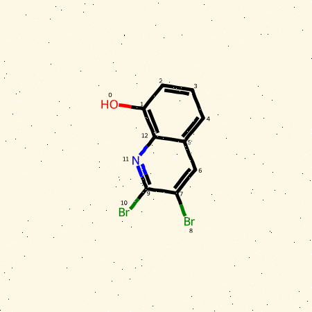 Oc1cccc2cc(Br)c(Br)nc12